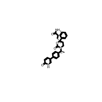 C[C@@H](c1ccc(-c2ccc(=O)[nH]c2)cc1)N1CC[C@](CCC(N)=O)(c2ccccc2)OC1=O